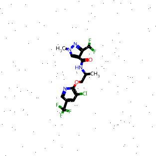 CC(COc1ncc(C(F)(F)F)cc1Cl)NC(=O)c1cn(C)nc1C(F)F